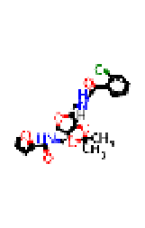 CC1(C)O[C@@H]2[C@@H](CNC3OC3c3ccccc3Cl)OC[C@]2(CNC(=O)c2ccco2)O1